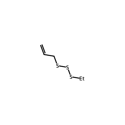 C=CCSSSCC